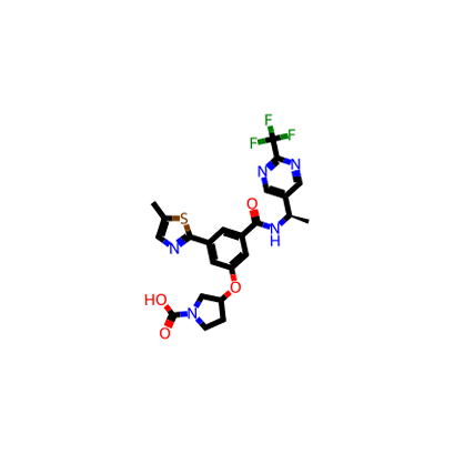 Cc1cnc(-c2cc(OC3CCN(C(=O)O)C3)cc(C(=O)N[C@H](C)c3cnc(C(F)(F)F)nc3)c2)s1